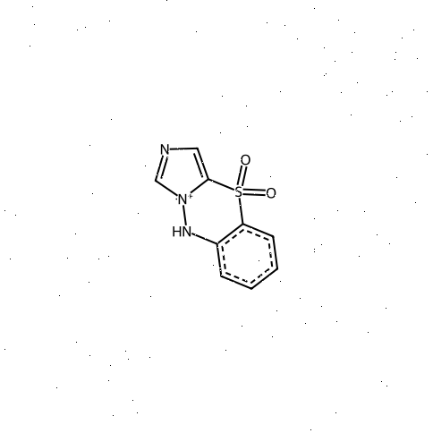 O=S1(=O)C2=CN=C[N+]2Nc2ccccc21